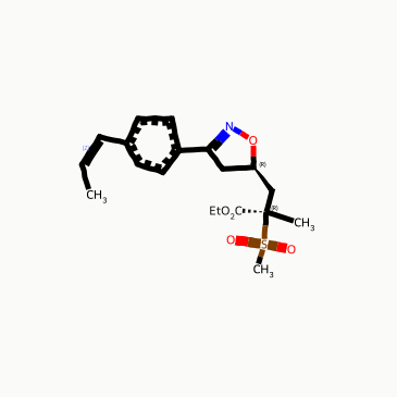 C/C=C\c1ccc(C2=NO[C@@H](C[C@](C)(C(=O)OCC)S(C)(=O)=O)C2)cc1